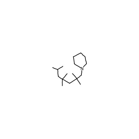 CC(C)CC(C)(C)CC(C)(C)CN1CCCCC1